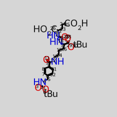 CC(C)(C)OC(=O)NCc1ccc(C(=O)NCCCCC(NC(=O)NC(CCC(=O)O)C(=O)O)C(=O)OC(C)(C)C)cc1